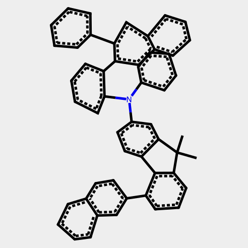 CC1(C)c2cc(N(c3ccccc3)c3ccccc3-c3cc4ccccc4cc3-c3ccccc3)ccc2-c2c(-c3ccc4ccccc4c3)cccc21